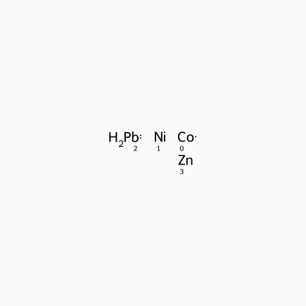 [Co].[Ni].[PbH2].[Zn]